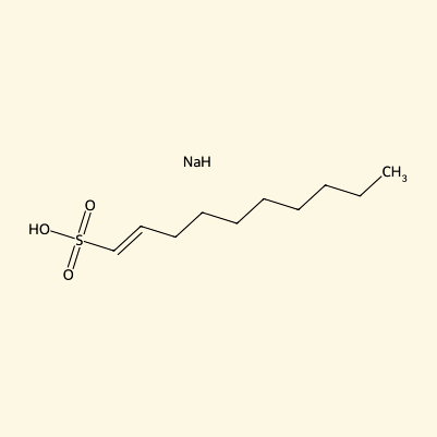 CCCCCCCCC=CS(=O)(=O)O.[NaH]